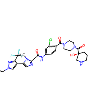 Cn1c(-c2cn(CC#N)nc2C(F)(F)F)cnc1C(=O)Nc1ccc(C(=O)N2CCN(C(=O)C3(O)CCCNC3)CC2)c(Cl)c1